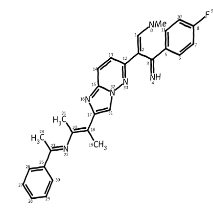 CN/C=C(\C(=N)c1ccc(F)cc1)c1ccc2nc(/C(C)=C(C)/N=C(\C)c3ccccc3)cn2n1